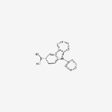 OB(O)C1C=c2c(n(-c3ccccc3)c3ccccc23)=CC1